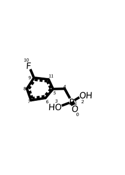 O=P(O)(O)Cc1cccc(F)c1